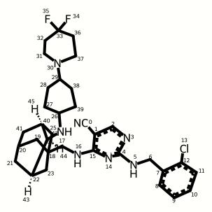 N#Cc1cnc(NCc2ccccc2Cl)nc1NCC12CC3C[C@H](C1)[C@H](NC1CCC(N4CCC(F)(F)CC4)CC1)[C@@H](C3)C2